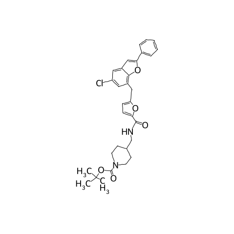 CC(C)(C)OC(=O)N1CCC(CNC(=O)c2ccc(Cc3cc(Cl)cc4cc(-c5ccccc5)oc34)o2)CC1